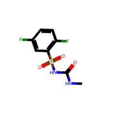 CNC(=O)NS(=O)(=O)c1cc(F)ccc1F